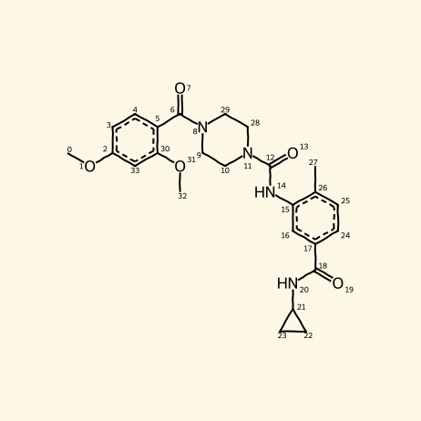 COc1ccc(C(=O)N2CCN(C(=O)Nc3cc(C(=O)NC4CC4)ccc3C)CC2)c(OC)c1